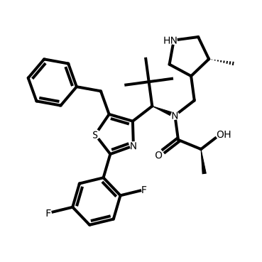 C[C@H](O)C(=O)N(CC1CNC[C@@H]1C)[C@@H](c1nc(-c2cc(F)ccc2F)sc1Cc1ccccc1)C(C)(C)C